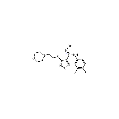 O/N=C(\Nc1ccc(F)c(Br)c1)c1nonc1SCCN1CCOCC1